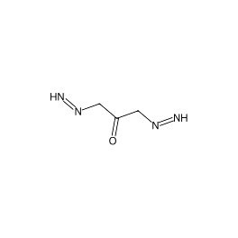 N=NCC(=O)CN=N